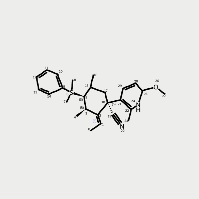 C/C=C1\[C@@H](C)[C@@H](S(C)(C)c2ccccc2)C(C)C[C@@]1(C#N)C1=C(C)NC(OC)C=C1